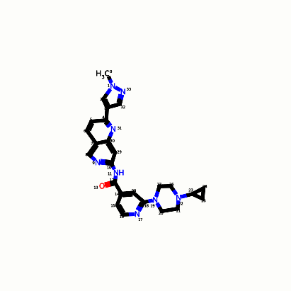 Cn1cc(-c2ccc3cnc(NC(=O)c4ccnc(N5CCN(C6CC6)CC5)c4)cc3n2)cn1